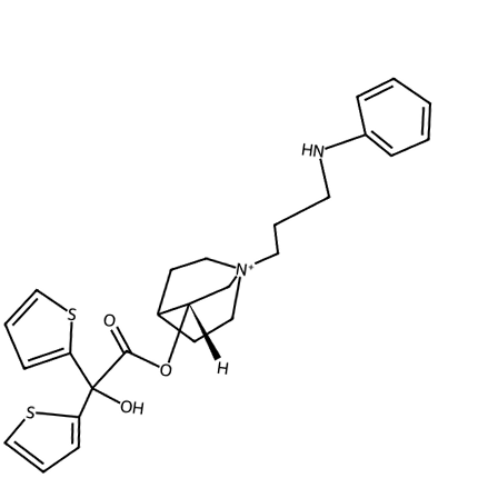 O=C(O[C@H]1C[N+]2(CCCNc3ccccc3)CCC1CC2)C(O)(c1cccs1)c1cccs1